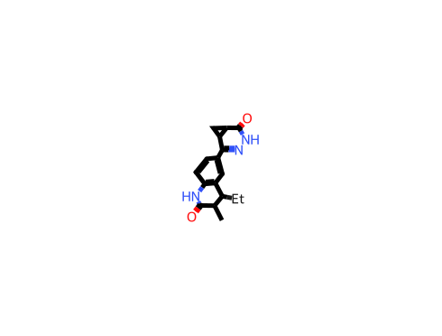 CCC1c2cc(C3=NNC(=O)C4CC34)ccc2NC(=O)C1C